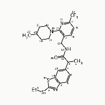 CCSc1nc2ccc(C(C)C(=O)NCc3ccc(C(F)(F)F)nc3N3CCC(C)CC3)cc2s1